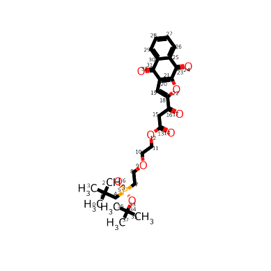 CC(C)(C)CP(=O)(CCOCCOC(=O)CC(=O)c1cc2c(o1)C(=O)c1ccccc1C2=O)OC(C)(C)C